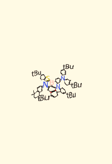 CC(C)(C)c1ccc(-c2cc(C(C)(C)C)ccc2N2c3cc(N(c4ccc(C(C)(C)C)cc4)c4ccc(C(C)(C)C)cc4)ccc3B3c4sc5cc(C(C)(C)C)ccc5c4N(c4ccc5c(c4)C(C)(C)CCC5(C)C)c4cccc2c43)cc1